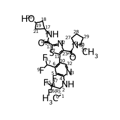 CC[C@@H](Nc1cc(C(F)F)c(-c2sc(C(=O)NC3CC(O)C3)nc2C(=O)N2CCC[C@@H]2C)cn1)C(F)(F)F